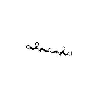 O=C(CCl)N=CCOCC=NC(=O)CCl